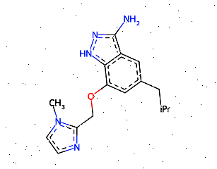 CC(C)Cc1cc(OCc2nccn2C)c2[nH]nc(N)c2c1